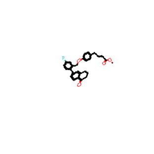 COC(=O)CCCc1ccc(OCc2cc(F)ccc2-c2ccc3c(c2)CCCC3=O)cc1